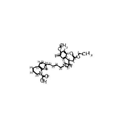 CCOC(=O)CC(c1ccc(OC)c(F)c1)C1(F)CN(CCCCc2ccc3c(n2)N(C(=O)O)CCC3)C1